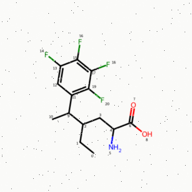 CCC(CC(N)C(=O)O)C(C)c1cc(F)c(F)c(F)c1F